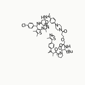 Cc1ncsc1-c1ccc([C@H](C)C(C)C(=O)[C@@H]2CCCN2C(=O)C(NC(=O)COCCC(=O)N2CCN(c3ccc([C@H](C)NC(=O)C[C@@H]4N=C(c5ccc(Cl)cc5)c5c(sc(C)c5C)-n5c(C)nnc54)cc3)CC2)C(C)(C)C)cc1